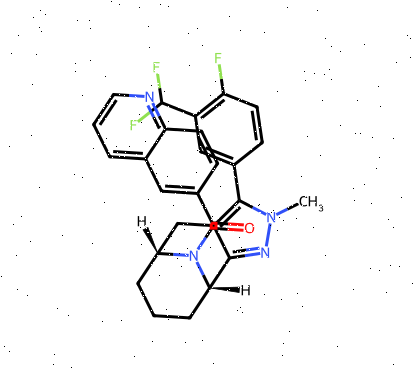 Cn1nc2c(c1-c1ccc(F)c(C(F)F)c1)C[C@H]1CCC[C@@H]2N1C(=O)c1ccc2ncccc2c1